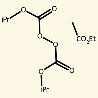 CC(C)OC(=O)OOC(=O)OC(C)C.CCOC(C)=O